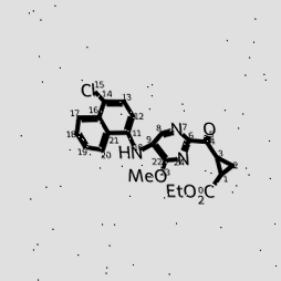 CCOC(=O)C1CC1C(=O)c1ncc(Nc2ccc(Cl)c3ccccc23)c(OC)n1